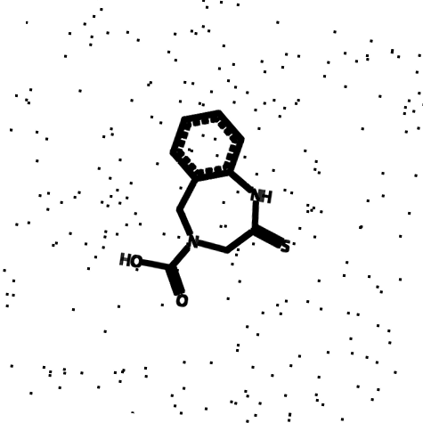 O=C(O)N1CC(=S)Nc2ccccc2C1